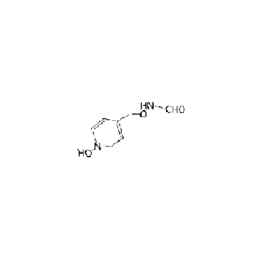 O=CNOCC1=CCN(O)C=C1